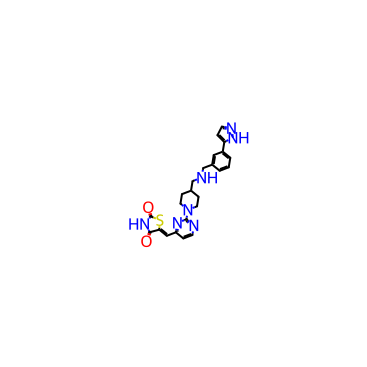 O=C1NC(=O)C(=Cc2ccnc(N3CCC(CNCc4cccc(-c5ccn[nH]5)c4)CC3)n2)S1